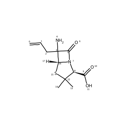 C=CCC1(N)C(=O)N2[C@@H](C(=O)O)C(C)(C)S[C@@H]21